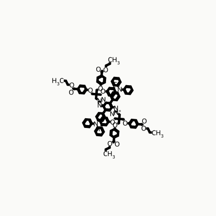 CCCOC(=O)c1ccc(OCC(COc2ccc(C(=O)OCCC)cc2)(COc2cccc(F)c2)Cn2nc3c(-c4ccc(N(c5ccccc5)c5ccccc5)cc4)c4n[n+](CC(COc5ccc(C(=O)OCCC)cc5)(COc5ccc(C(=O)OCCC)cc5)COc5cccc(F)c5)[n-]c4c(-c4ccc(N(c5ccccc5)c5ccccc5)cc4)c3n2)cc1